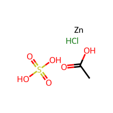 CC(=O)O.Cl.O=S(=O)(O)O.[Zn]